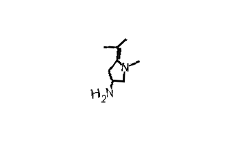 CC(C)=C1CC(N)CN1C